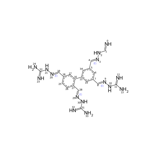 N=CN/N=C/c1cc(/C=N/NC(=N)N)cc(-c2cc(/C=N/NC(=N)N)ccc2/C=N/NC(=N)N)c1